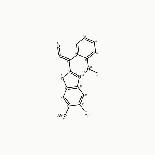 COc1cc2[nH]c(C(=S=O)c3ccccc3N(C)C)nc2cc1O